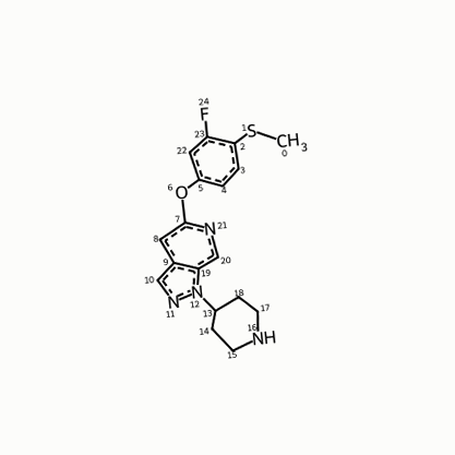 CSc1ccc(Oc2cc3cnn(C4CCNCC4)c3cn2)cc1F